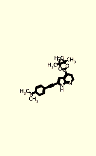 CN(C)C1C=CC(C#Cc2cc3c([nH]2)=NCCC=3B2OC(C)(C)C(C)(C)O2)=CC1